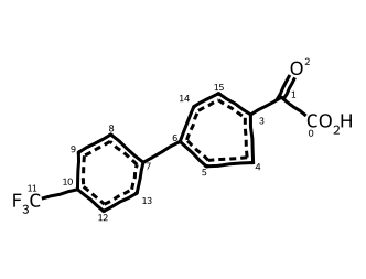 O=C(O)C(=O)c1ccc(-c2ccc(C(F)(F)F)cc2)cc1